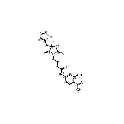 C=C1N(CCCC(=O)Nc2ccc(C(=O)O)c(O)c2)C(=S)SC1(I)Cc1cccs1